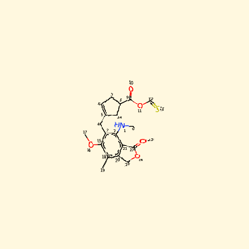 CNc1c(CC2=CCC(C(=O)OC=S)C2)c(OC)c(C)c2c1C(=O)OC2